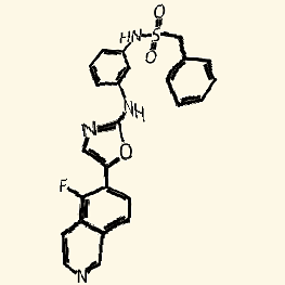 O=S(=O)(Cc1ccccc1)Nc1cccc(Nc2ncc(-c3ccc4cnccc4c3F)o2)c1